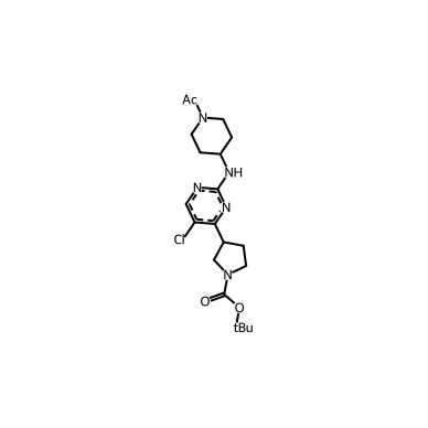 CC(=O)N1CCC(Nc2ncc(Cl)c(C3CCN(C(=O)OC(C)(C)C)C3)n2)CC1